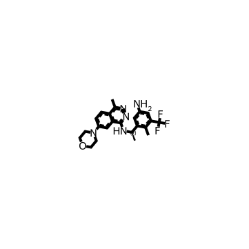 Cc1c([C@@H](C)Nc2nnc(C)c3ccc(N4CCOCC4)cc23)cc(N)cc1C(F)(F)F